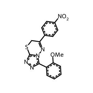 COc1ccccc1-c1nnc2n1N=C(c1ccc([N+](=O)[O-])cc1)CS2